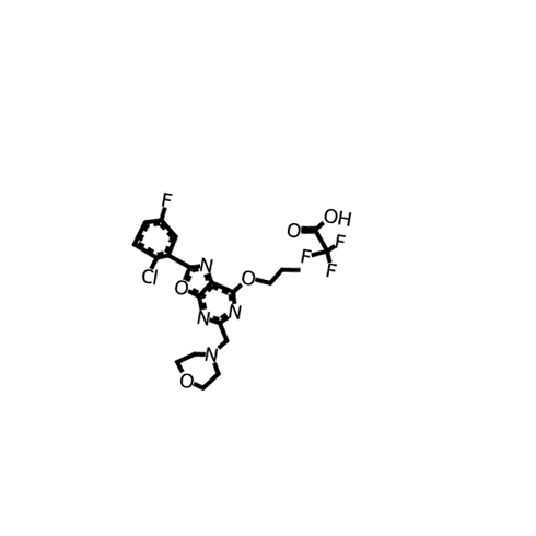 CCCOc1nc(CN2CCOCC2)nc2oc(-c3cc(F)ccc3Cl)nc12.O=C(O)C(F)(F)F